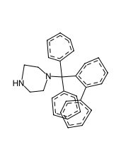 c1ccc(-c2ccccc2C(c2ccccc2)(c2ccccc2)N2CCNCC2)cc1